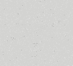 CCCC#C[Si](OC)(OC)OC